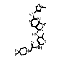 Cc1ncc(NC(=O)CN2CCC(F)(F)CC2)cc1Nc1nn(C)c2nc(Nc3cnn(C)c3)ncc12